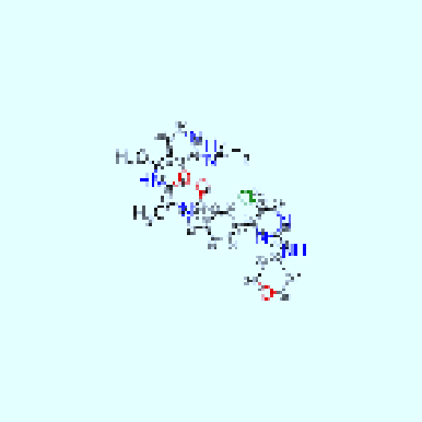 CNc1cc(C(C)NC(=O)C(C)N2Cc3ccc(-c4nc(NC5CCOCC5)ncc4Cl)cc3C2=O)ccn1